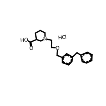 Cl.O=C(O)C1CCCN(CCOCc2cccc(Cc3ccccc3)c2)C1